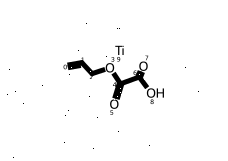 C=CCOC(=O)C(=O)O.[Ti]